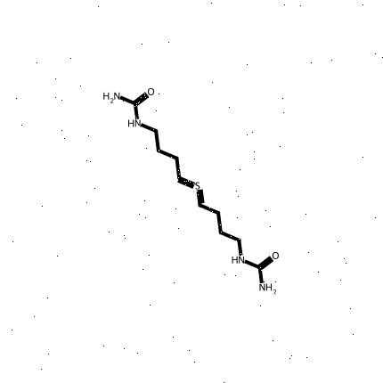 NC(=O)NCCCC=S=CCCCNC(N)=O